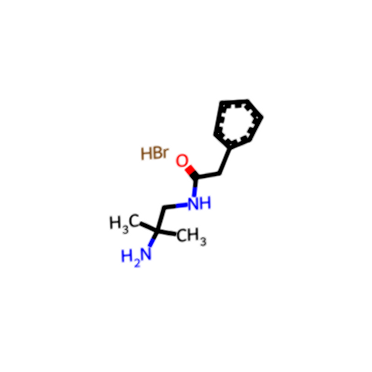 Br.CC(C)(N)CNC(=O)Cc1ccccc1